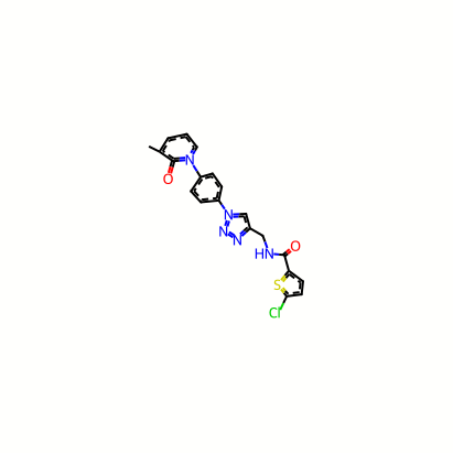 Cc1cccn(-c2ccc(-n3cc(CNC(=O)c4ccc(Cl)s4)nn3)cc2)c1=O